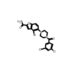 NC(=O)c1cc2c(Br)c(N3CCN(C(=O)c4cc(Cl)cc(Cl)c4)CC3)ccc2o1